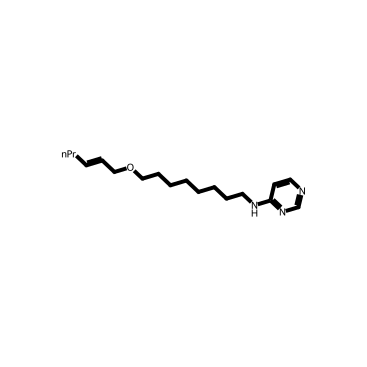 CCC/C=C/COCCCCCCCCNc1ccncn1